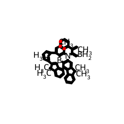 B/C=C(\C(=C/C)c1ccccc1)N1c2cc3c(cc2B2C4=C(c5cccc(c5C)-c5cc(C)cc1c52)C(C)(C)c1ccccc14)-c1ccccc1C3(C)C